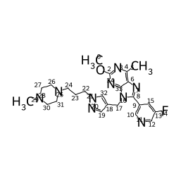 COc1nc(C)c2nc(-c3cncc(F)c3)n(Cc3cnn(CCCN4CCN(C)CC4)c3)c2n1